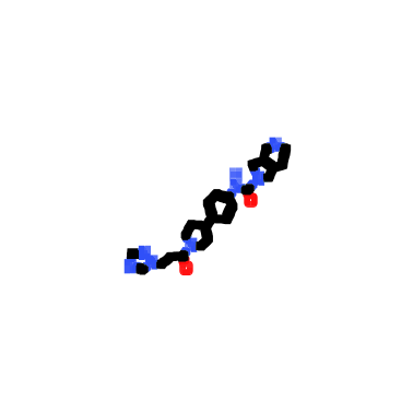 O=C(CCn1cncn1)N1CC=C(c2ccc(NC(=O)N3Cc4ccncc4C3)cc2)CC1